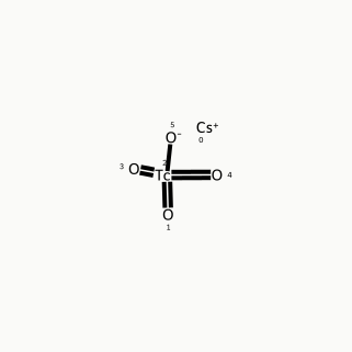 [Cs+].[O]=[Tc](=[O])(=[O])[O-]